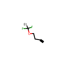 C#CCCOC(F)(F)CC